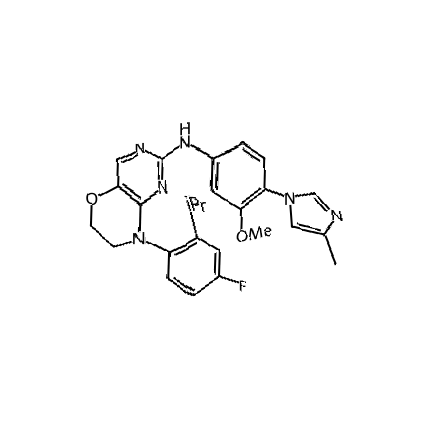 COc1cc(Nc2ncc3c(n2)N(c2ccc(F)cc2C(C)C)CCO3)ccc1-n1cnc(C)c1